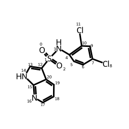 O=S(=O)(Nc1ccc(Cl)cc1Cl)c1c[nH]c2ncccc12